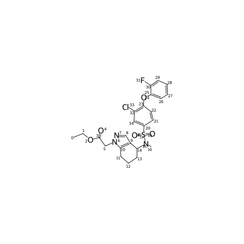 CCOC(=O)Cn1ncc2c1CCCC2N(C)S(=O)(=O)c1ccc(Oc2ccccc2F)c(Cl)c1